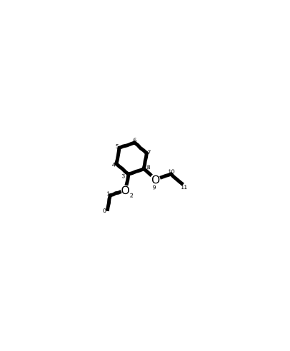 CCOC1CCCCC1OCC